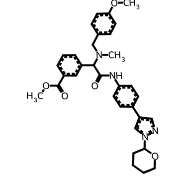 COC(=O)c1cccc(C(C(=O)Nc2ccc(-c3cnn(C4CCCCO4)c3)cc2)N(C)Cc2ccc(OC)cc2)c1